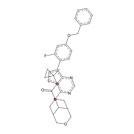 CC1(OC(=O)N2CC3COCC(C2)C3Oc2ncnc3c(-c4ccc(OCc5ccccc5)cc4F)csc23)CC1